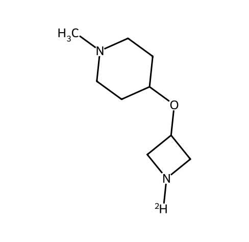 [2H]N1CC(OC2CCN(C)CC2)C1